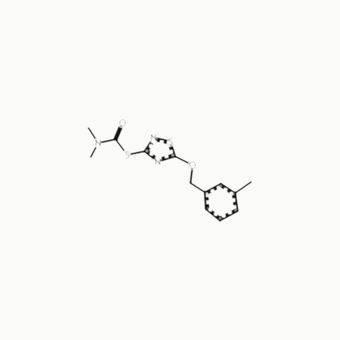 Cc1cccc(COc2nc(SC(=O)N(C)C)ns2)c1